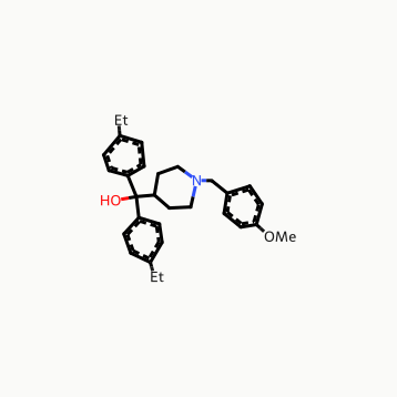 CCc1ccc(C(O)(c2ccc(CC)cc2)C2CCN(Cc3ccc(OC)cc3)CC2)cc1